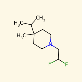 CC(C)C1(C)CCN(CC(F)F)CC1